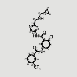 O=C(Nc1ccc(Cl)c(C(=O)Nc2cnc(CNCC3CC3)s2)c1)c1cccc(C(F)(F)F)c1